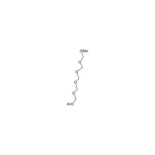 COCOCOCOCOCOC(C)=O